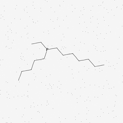 CCCCCCCP(CC)CCCCC